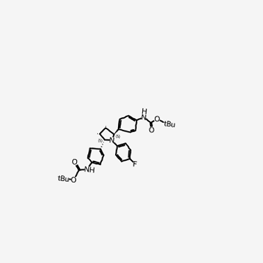 CC(C)(C)OC(=O)Nc1ccc([C@@H]2[CH][CH][C@@H](c3ccc(NC(=O)OC(C)(C)C)cc3)N2c2ccc(F)cc2)cc1